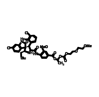 COCCOCCOC(=O)OC(C)OC(=O)c1ccc(NC(=O)C2N[C@@H](CC(C)(C)C)[C@@]3(C(=O)Nc4cc(Cl)ccc43)C2c2cccc(Cl)c2F)c(OC)c1